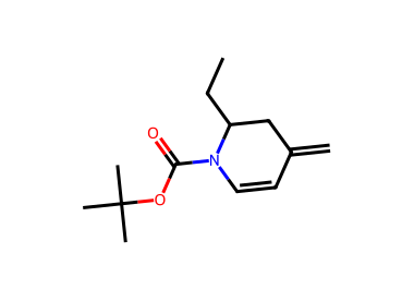 C=C1C=CN(C(=O)OC(C)(C)C)C(CC)C1